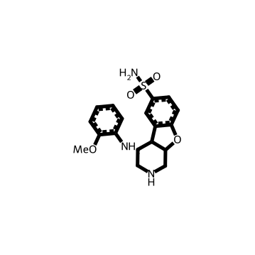 COc1ccccc1N.NS(=O)(=O)c1ccc2c(c1)C1CCNCC1O2